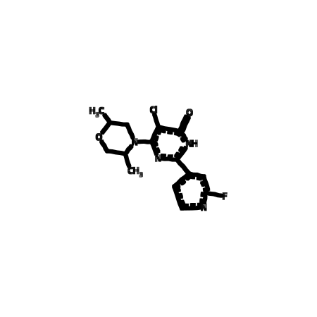 CC1CN(c2nc(-c3ccnc(F)c3)[nH]c(=O)c2Cl)C(C)CO1